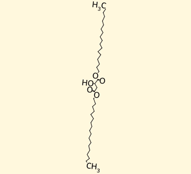 CCCCCCCCCCCCCCCCCCOC(=O)CC(O)C(=O)OCCCCCCCCCCCCCCCCCC